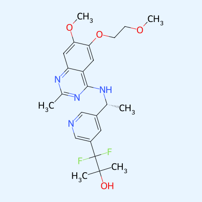 COCCOc1cc2c(N[C@H](C)c3cncc(C(F)(F)C(C)(C)O)c3)nc(C)nc2cc1OC